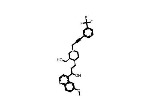 COc1ccc2nccc(C(O)CC[C@@H]3CCN(CC#Cc4cccc(C(F)(F)F)c4)C[C@@H]3CO)c2c1